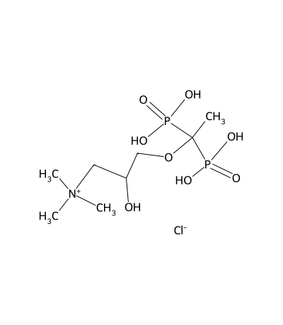 CC(OCC(O)C[N+](C)(C)C)(P(=O)(O)O)P(=O)(O)O.[Cl-]